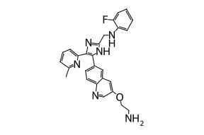 Cc1cccc(-c2nc(CNc3ccccc3F)[nH]c2-c2ccc3ncc(OCCN)cc3c2)n1